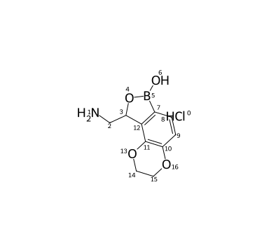 Cl.NCC1OB(O)c2ccc3c(c21)OCCO3